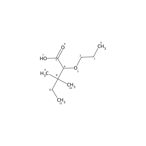 CCCOC(C(=O)O)C(C)(C)CC